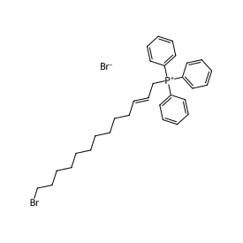 BrCCCCCCCCCCC=CC[P+](c1ccccc1)(c1ccccc1)c1ccccc1.[Br-]